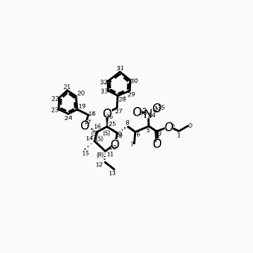 CCOC(=O)C(C(C)C[C@@H]1O[C@H](CC)[C@H](C)[C@H](OCc2ccccc2)[C@H]1OCc1ccccc1)[N+](=O)[O-]